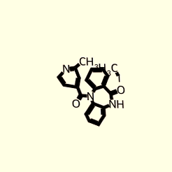 CI.Cc1cc(C(=O)N2c3ccccc3NC(=O)c3ccccc32)ccn1